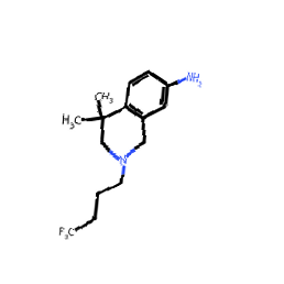 CC1(C)CN(CCCC(F)(F)F)Cc2cc(N)ccc21